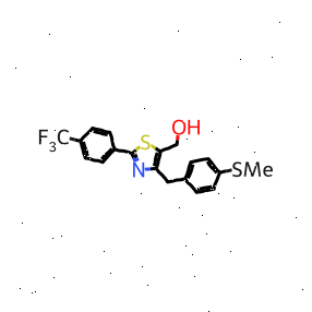 CSc1ccc(Cc2nc(-c3ccc(C(F)(F)F)cc3)sc2CO)cc1